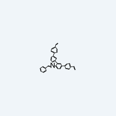 C=Cc1ccc(-c2ccc3c(c2)c2cc(-c4ccc(C=C)cc4)ccc2n3C=Cc2ccccc2)cc1